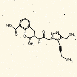 NCC#Cc1c(CN)nnn1CC(=O)NC1Cc2cccc(C(=O)O)c2OB1O